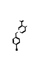 N#Cc1ccc(CN2C=CC(O)C(C(=O)O)=C2)cc1